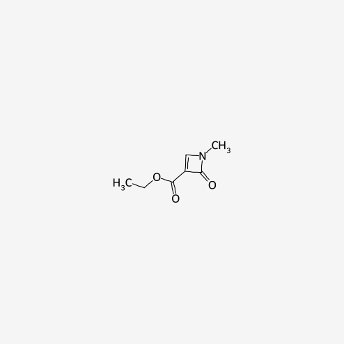 CCOC(=O)C1=CN(C)C1=O